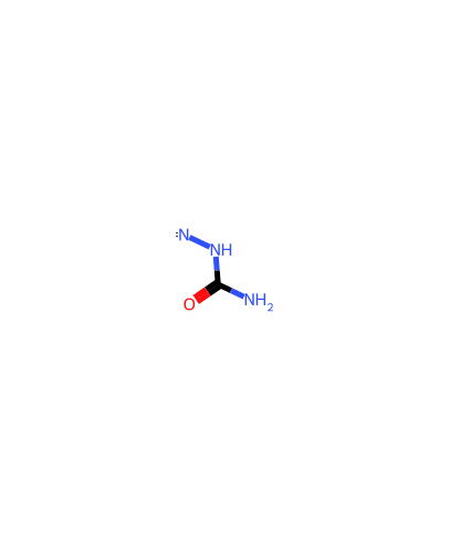 [N]NC(N)=O